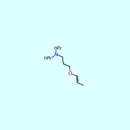 CC=COCCCN(CCC)CCC